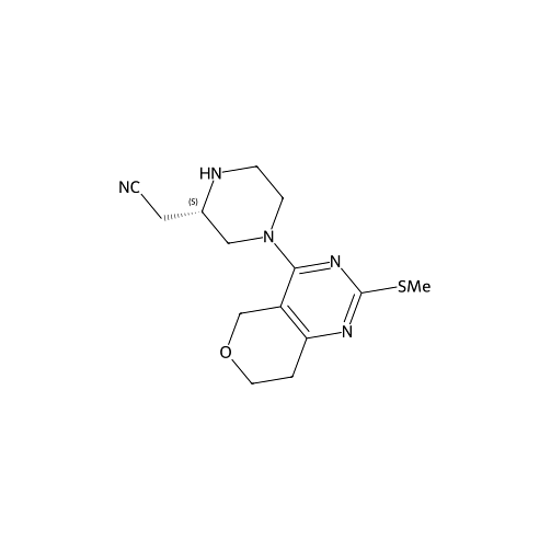 CSc1nc2c(c(N3CCN[C@@H](CC#N)C3)n1)COCC2